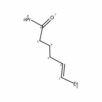 CCC=CCCCC(=O)CCC